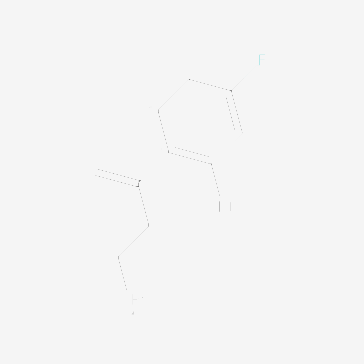 C=C(CCC(C)C)c1ccc(F)cc1CC